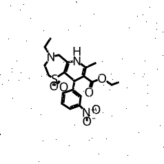 CCOC(=O)C1=C(C)NC2=C(C1c1cccc([N+](=O)[O-])c1)S(=O)(=O)CCN(CC)C2